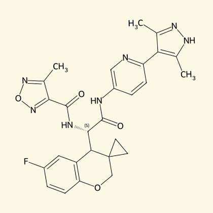 Cc1nonc1C(=O)N[C@H](C(=O)Nc1ccc(-c2c(C)n[nH]c2C)nc1)C1c2cc(F)ccc2OCC12CC2